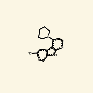 N#Cc1cc2c(cn1)[nH]c1nccc(N3CCCCC3)c12